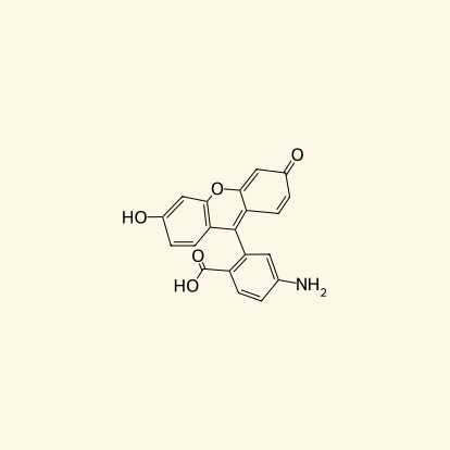 Nc1ccc(C(=O)O)c(-c2c3ccc(=O)cc-3oc3cc(O)ccc23)c1